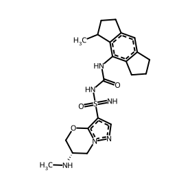 CN[C@@H]1COc2c(S(=N)(=O)NC(=O)Nc3c4c(cc5c3C(C)CC5)CCC4)cnn2C1